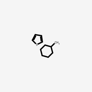 CC1CCCCC1.c1ccsc1